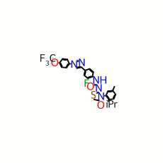 Cc1ccc(C(C)C)c(N2C(=O)CSC2=NC(=O)Nc2ccc(-c3cn(-c4ccc(OC(F)(F)F)cc4)cn3)cc2F)c1